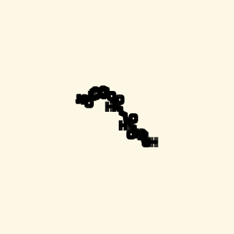 CC(C)(C)CC(=O)N1CCc2ccc(OCC(=O)NCCCCC(=O)NCC(=O)N3CC[C@@H](O)C3)cc2C1